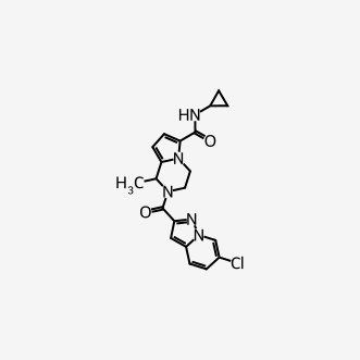 CC1c2ccc(C(=O)NC3CC3)n2CCN1C(=O)c1cc2ccc(Cl)cn2n1